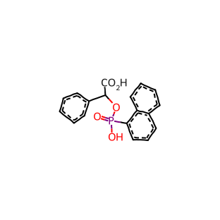 O=C(O)C(OP(=O)(O)c1cccc2ccccc12)c1ccccc1